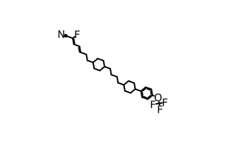 N#CC(F)=CC=CCCC1CCC(CCCCC2CCC(c3ccc(OC(F)(F)F)cc3)CC2)CC1